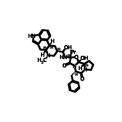 CC(C)[C@@]1(NC(O)[C@@H]2C[C@@H]3c4cccc5[nH]cc(c45)C[C@H]3N(C)C2)O[C@@]2(O)[C@@H]3CCCN3C(=O)[C@H](Cc3ccccc3)N2C1=O